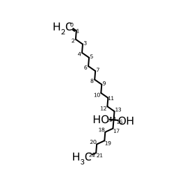 C=CCCCCCCCCCCCCC(O)(O)CCCCCC